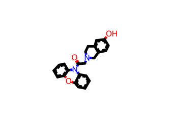 O=C(CN1CCc2cc(O)ccc2C1)N1c2ccccc2Oc2ccccc21